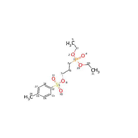 CCOP(=O)(CCCOS(=O)(=O)c1ccc(C)cc1)OCC